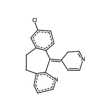 Clc1ccc2c(c1)CCc1cccnc1C2=C1C=CN=CC1